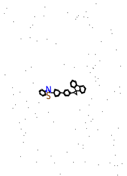 c1ccc2c(c1)-c1ccccc1C21CC1c1ccc(-c2ccc(-c3nc4ccccc4s3)cc2)cc1